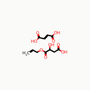 C=CCOC(=O)C(O)CC(=O)O.O=C(O)C=CC(=O)O